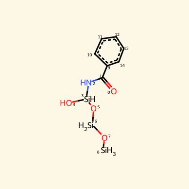 O=C(N[SiH](O)O[SiH2]O[SiH3])c1ccccc1